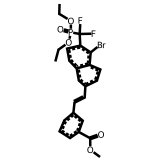 CCOP(=O)(OCC)C(F)(F)c1ccc2cc(C=Cc3cccc(C(=O)OC)c3)ccc2c1Br